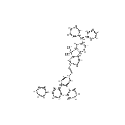 CCC1(CC)c2cc(/C=C/c3ccc(-c4cc(-c5ccccc5)ccc4-c4ccccc4)cc3)ccc2-c2ccc(N(c3ccccc3)c3ccccc3)cc21